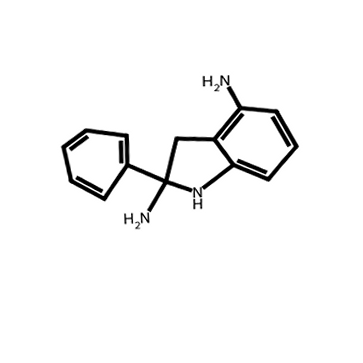 Nc1cccc2c1CC(N)(c1ccccc1)N2